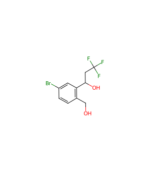 OCc1ccc(Br)cc1C(O)CC(F)(F)F